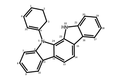 C1=CCCC(n2c3ccccc3c3ccc4c5ccccc5[nH]c4c32)=C1